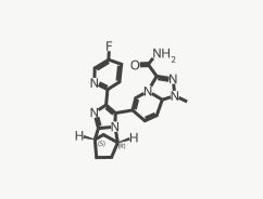 CN1N=C(C(N)=O)N2C=C(c3c(-c4ccc(F)cn4)nc4n3[C@@H]3CC[C@H]4C3)C=CC12